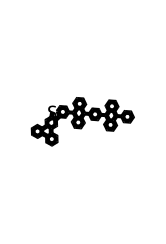 c1ccc(-c2c3ccccc3c(-c3ccc(-c4c5ccccc5c(-c5ccc6sc7cc8c9ccccc9c9ccccc9c8cc7c6c5)c5ccccc45)cc3)c3ccccc23)cc1